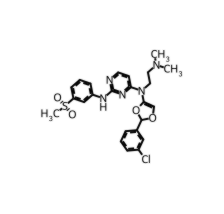 CN(C)CCN(C1=COC(c2cccc(Cl)c2)O1)c1ccnc(Nc2cccc(S(C)(=O)=O)c2)n1